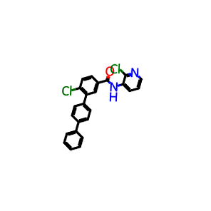 O=C(Nc1cccnc1Cl)c1ccc(Cl)c(-c2ccc(-c3ccccc3)cc2)c1